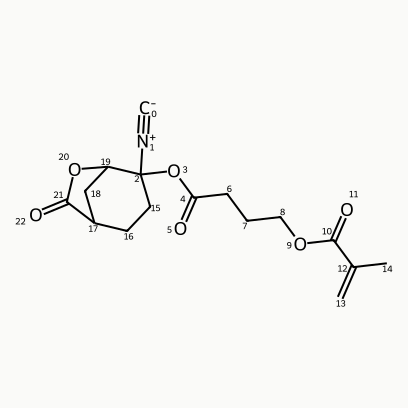 [C-]#[N+]C1(OC(=O)CCCOC(=O)C(=C)C)CCC2CC1OC2=O